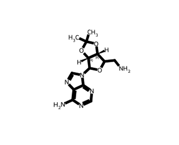 CC1(C)O[C@@H]2C(CN)OC(n3cnc4c(N)ncnc43)[C@@H]2O1